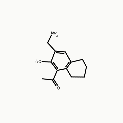 CC(=O)c1c(O)c(CN)cc2c1CCCC2